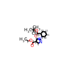 CCOC(=O)c1cnn(-c2ccccc2C(=O)OC(C)(C)C)c1